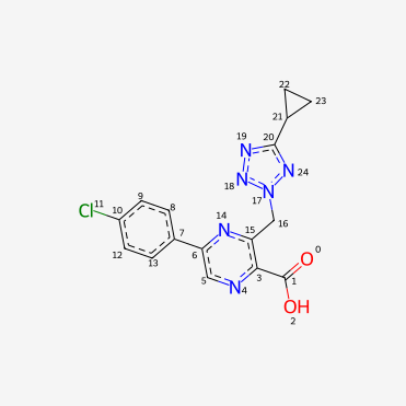 O=C(O)c1ncc(-c2ccc(Cl)cc2)nc1Cn1nnc(C2CC2)n1